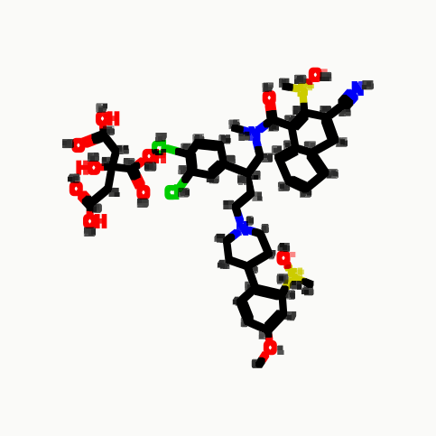 COc1ccc(C2CCN(CC[C@H](CN(C)C(=O)c3c([S+](C)[O-])c(C#N)cc4ccccc34)c3ccc(Cl)c(Cl)c3)CC2)c([S@+](C)[O-])c1.O=C(O)CC(O)(CC(=O)O)C(=O)O